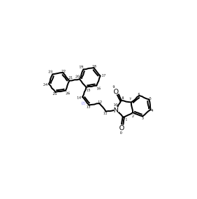 O=C1c2ccccc2C(=O)N1CC/C=C\c1ccccc1-c1ccccc1